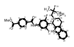 COC(=O)c1ccc(C(=O)Nc2cc(F)c([C@@H]3c4[nH]c5ccccc5c4C[C@@H](C)N3CC(C)(C)F)c(F)c2)nc1